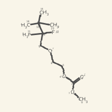 COC(=O)OCCOCC(F)(P)C(C)(C)C